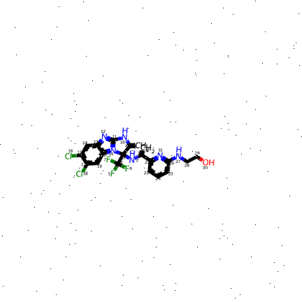 C=C(NC1(C(F)(F)F)C(=C)Nc2nc3cc(Cl)c(Cl)cc3n21)c1cccc(NCCO)n1